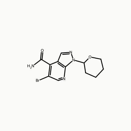 NC(=O)c1c(Br)cnc2c1cnn2C1CCCCO1